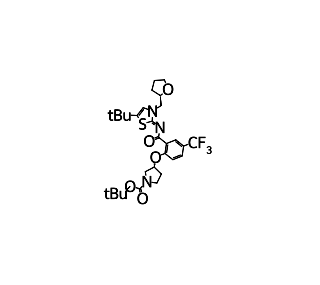 CC(C)(C)OC(=O)N1CC[C@H](Oc2ccc(C(F)(F)F)cc2C(=O)/N=c2\sc(C(C)(C)C)cn2C[C@H]2CCCO2)C1